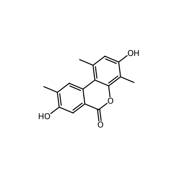 Cc1cc2c(cc1O)c(=O)oc1c(C)c(O)cc(C)c12